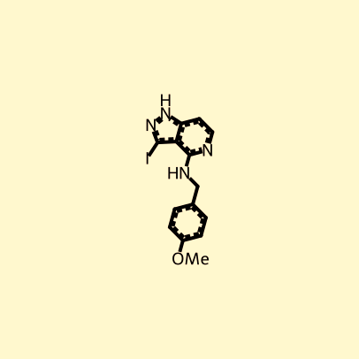 COc1ccc(CNc2nccc3[nH]nc(I)c23)cc1